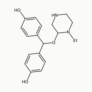 CCN1CCNCC1OC(c1ccc(O)cc1)c1ccc(O)cc1